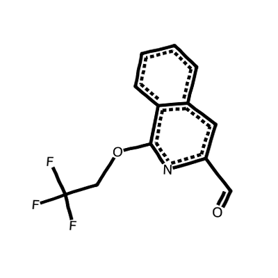 O=Cc1cc2ccccc2c(OCC(F)(F)F)n1